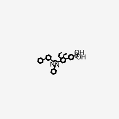 C=Cc1c(-c2ccc(B(O)O)cc2)ccc(-c2cc(-c3cccc(-c4ccccc4)c3)nc(-c3ccccc3)n2)c1/C=C\C